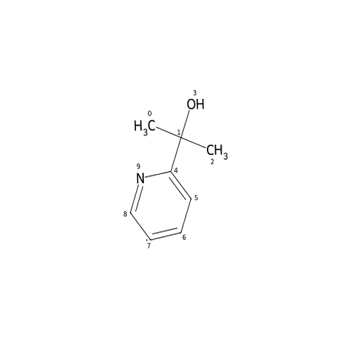 CC(C)(O)c1cc[c]cn1